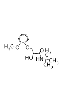 COc1ccccc1OCC(O)C(=O)NC(C)(C)C